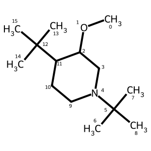 COC1CN(C(C)(C)C)CCC1C(C)(C)C